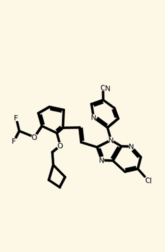 N#Cc1ccc(-n2c(C=Cc3cccc(OC(F)F)c3OCC3CCC3)nc3cc(Cl)cnc32)nc1